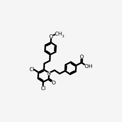 COc1ccc(CCc2c(Cl)cc(Cl)c(=O)n2CCc2ccc(C(=O)O)cc2)cc1